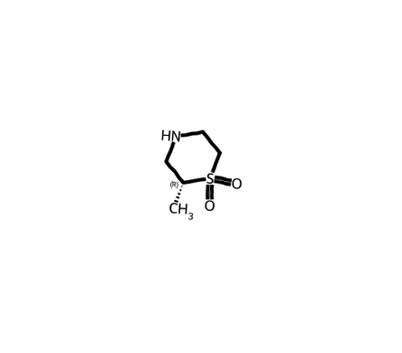 C[C@@H]1CNCCS1(=O)=O